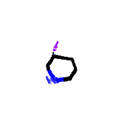 I[C@@H]1CCCNC1